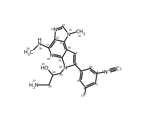 [C-]#[N+]c1cc(F)cc(-c2cc3c4c(ncn4C)c(NC)nc3n2CC(O)CN)c1